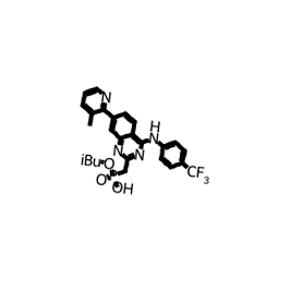 CCC(C)OP(=O)(O)Cc1nc(Nc2ccc(C(F)(F)F)cc2)c2ccc(-c3ncccc3C)cc2n1